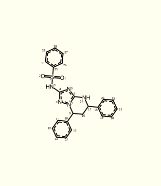 O=S(=O)(Nc1nc2n(n1)C(c1ccccc1)CC(c1ccccc1)N2)c1ccccc1